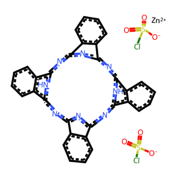 O=S(=O)([O-])Cl.O=S(=O)([O-])Cl.[Zn+2].c1ccc2c(c1)-c1nc-2nc2[nH]c(nc3nc(nc4[nH]c(n1)c1ccccc41)-c1ccccc1-3)c1ccccc21